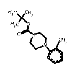 Cc1ccccc1N1CCN(C(=O)OC(C)(C)C)CC1